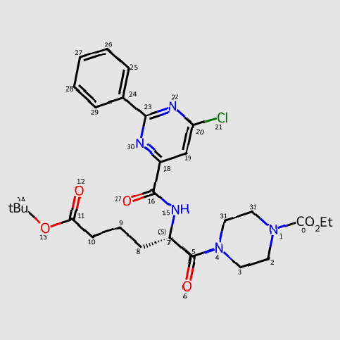 CCOC(=O)N1CCN(C(=O)[C@H](CCCC(=O)OC(C)(C)C)NC(=O)c2cc(Cl)nc(-c3ccccc3)n2)CC1